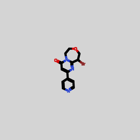 O=c1cc(-c2ccncc2)nc2n1CCOCC2Br